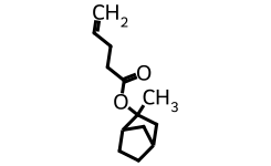 C=CCCC(=O)OC1(C)CC2CCC1C2